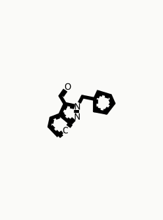 O=Cc1c2ccccc2nn1Cc1ccccc1